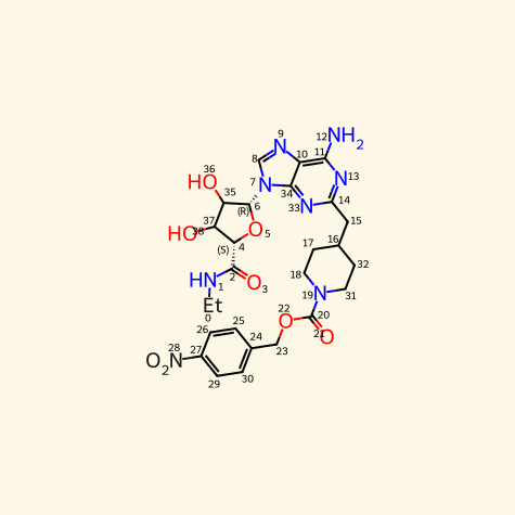 CCNC(=O)[C@H]1O[C@@H](n2cnc3c(N)nc(CC4CCN(C(=O)OCc5ccc([N+](=O)[O-])cc5)CC4)nc32)C(O)C1O